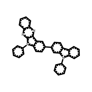 c1ccc(-n2c3ccccc3c3ccc(-c4ccc5c(c4)c4nc6ccccc6nc4n5-c4ccccc4)cc32)cc1